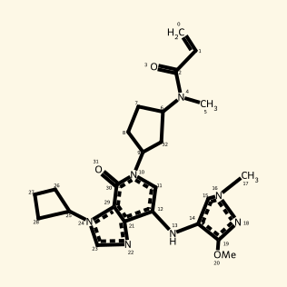 C=CC(=O)N(C)C1CCC(n2cc(Nc3cn(C)nc3OC)c3ncn(C4CCC4)c3c2=O)C1